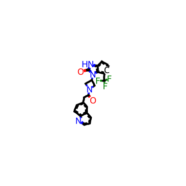 O=C(Cc1ccc2ncccc2c1)N1CC(n2c(=O)[nH]c3cccc(C(F)(F)F)c32)C1